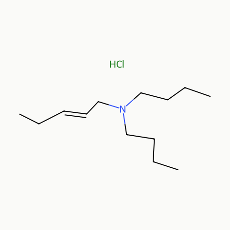 CC/C=C/CN(CCCC)CCCC.Cl